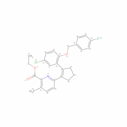 CCOC(=O)c1nc(C2=C(c3cc(Cl)ccc3OCc3ccc(F)cc3)CCC2)ccc1C